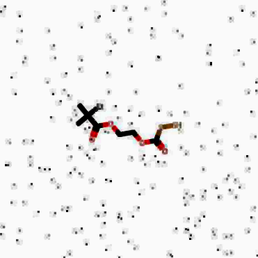 CCC(C)(C)C(=O)OCCOC(=O)SS